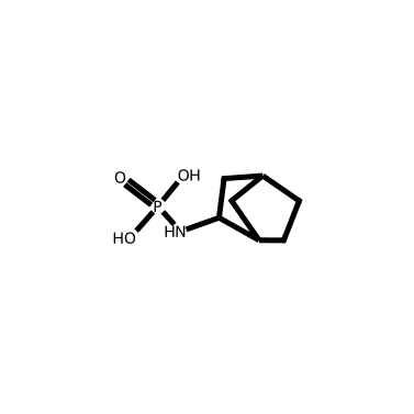 O=P(O)(O)NC1CC2CCC1C2